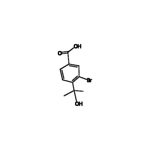 CC(C)(O)c1ccc(C(=O)O)cc1Br